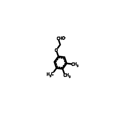 Cc1cc(OC[C]=O)cc(C)c1C